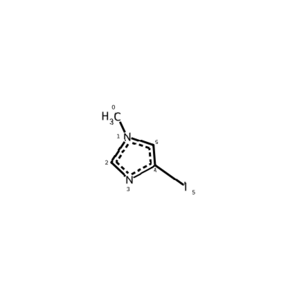 Cn1cnc(I)c1